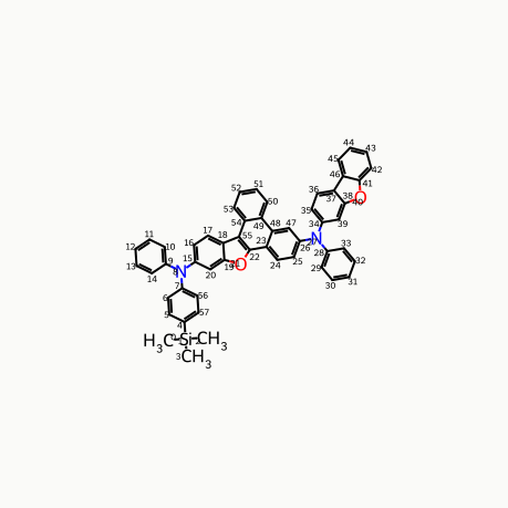 C[Si](C)(C)c1ccc(N(c2ccccc2)c2ccc3c(c2)oc2c4ccc(N(c5ccccc5)c5ccc6c(c5)oc5ccccc56)cc4c4ccccc4c32)cc1